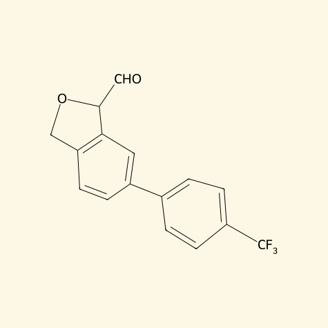 O=CC1OCc2ccc(-c3ccc(C(F)(F)F)cc3)cc21